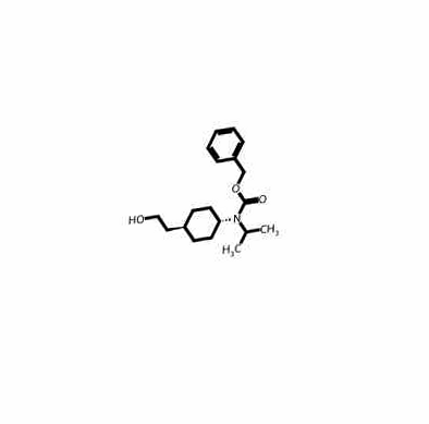 CC(C)N(C(=O)OCc1ccccc1)[C@H]1CC[C@H](CCO)CC1